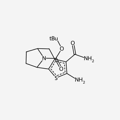 CC(C)(C)OC(=O)N1C2CCC1c1sc(N)c(C(N)=O)c1C2